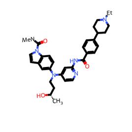 CCN1CCC(c2ccc(C(=O)Nc3cc(N(CC[C@H](C)O)c4ccc5c(ccn5C(=O)NC)c4)ccn3)cc2)CC1